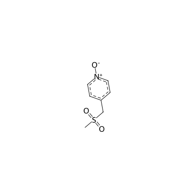 CS(=O)(=O)Cc1cc[n+]([O-])cc1